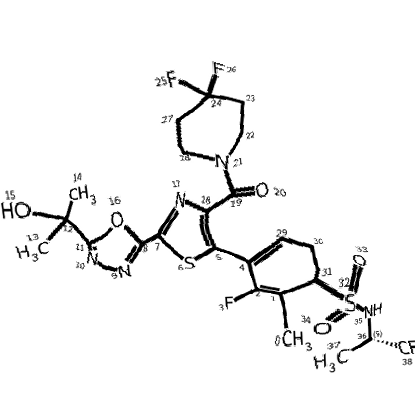 CC1=C(F)C(c2sc(-c3nnc(C(C)(C)O)o3)nc2C(=O)N2CCC(F)(F)CC2)=CCC1S(=O)(=O)N[C@@H](C)C(F)(F)F